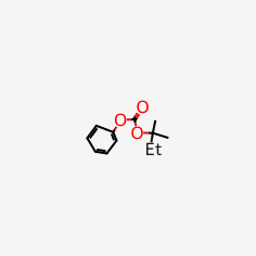 CCC(C)(C)OC(=O)Oc1ccccc1